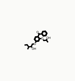 CCC(C)C(O)COc1ccc(C(=O)c2ccccc2)c(OCC(C)O)c1